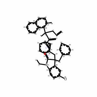 C=CCC(C)(C(=C)/C=C/C=C1/N(CC)c2ccc(Cl)cc2C1(Cc1ccccc1)Cc1ccccc1)c1c(C)ccc2ccccc12